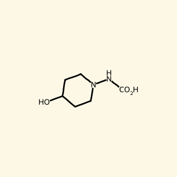 O=C(O)NN1CCC(O)CC1